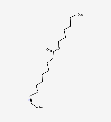 CCCCCC/C=C\CCCCCCCC(=O)OCCCCCCCCCCCCCCC